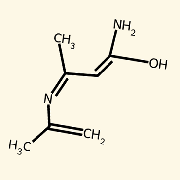 C=C(C)/N=C(C)\C=C(/N)O